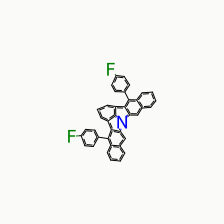 Fc1ccc(-c2c3ccccc3cc3c2c2cccc4c5c(-c6ccc(F)cc6)c6ccccc6cc5n3c24)cc1